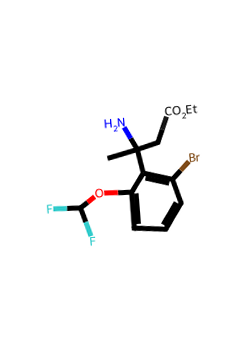 CCOC(=O)CC(C)(N)c1c(Br)cccc1OC(F)F